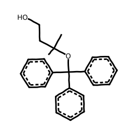 CC(C)(CCO)OC(c1ccccc1)(c1ccccc1)c1ccccc1